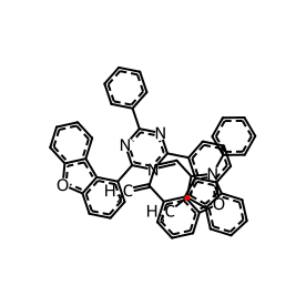 C=C(/C=C\c1c(C)c2ccccc2n1-c1ccccc1)c1cccc2oc3cccc(-c4nc(-c5ccccc5)nc(-c5cccc6oc7ccccc7c56)n4)c3c12